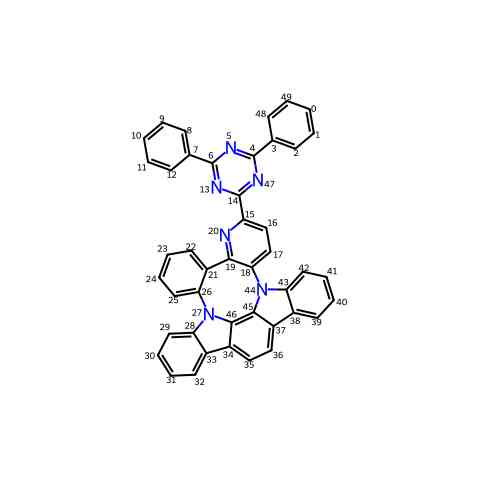 c1ccc(-c2nc(-c3ccccc3)nc(-c3ccc4c(n3)c3ccccc3n3c5ccccc5c5ccc6c7ccccc7n4c6c53)n2)cc1